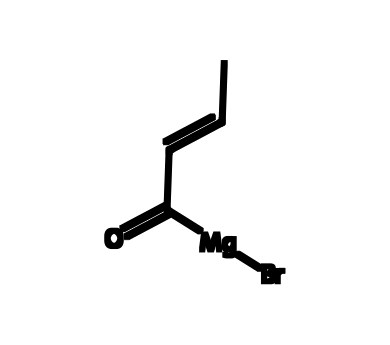 C/C=C/[C](=O)[Mg][Br]